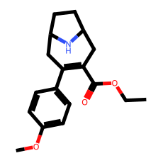 CCOC(=O)C1=C(c2ccc(OC)cc2)CC2CCC(C1)N2